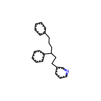 c1ccc(CCC[C](CCc2cccnc2)c2ccccc2)cc1